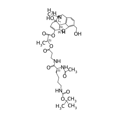 CC(=O)N[C@@H](CCCCNC(=O)OC(C)(C)C)C(=O)NCCC(=O)O[C@@H](C)C(=O)OC1=CC[C@@]2(O)[C@H]3Cc4ccc(CO)c5c4[C@@]2(CCN3C)[C@H]1O5